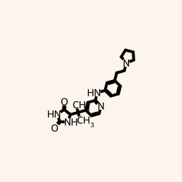 CC(C)(c1ccnc(Nc2cccc(CCN3CCCC3)c2)c1)C1NC(=O)NC1=O